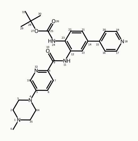 CN1CCN(c2ccc(C(=O)Nc3cc(-c4ccncc4)ccc3NC(=O)OC(C)(C)C)nc2)CC1